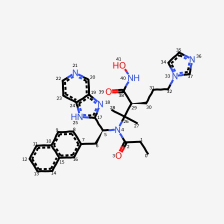 CCC(=O)N([C@@H](Cc1ccc2ccccc2c1)c1nc2cnccc2[nH]1)C(C)(C)[C@H](CCCn1ccnc1)C(=O)NO